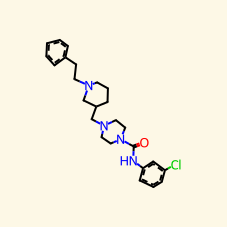 O=C(Nc1cccc(Cl)c1)N1CCN(CC2CCCN(CCc3ccccc3)C2)CC1